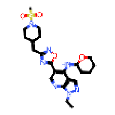 CCn1ncc2c(NC3CCCCO3)c(-c3nc(CC4CCN(S(C)(=O)=O)CC4)no3)cnc21